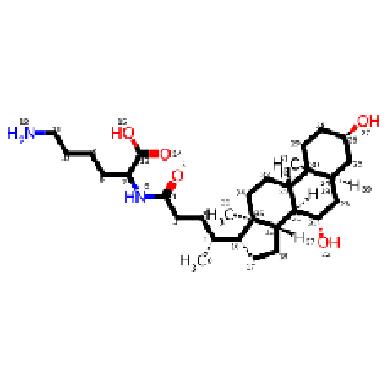 C[C@H](CCC(=O)NC(CCCCN)C(=O)O)[C@H]1CC[C@H]2[C@@H]3[C@@H](O)C[C@@H]4C[C@H](O)CC[C@]4(C)[C@H]3CC[C@]12C